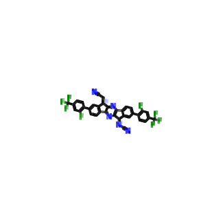 N#C/C=C1\c2cc(-c3ccc(C(F)(F)F)cc3F)ccc2-c2nc3c(nc21)-c1ccc(-c2ccc(C(F)(F)F)cc2F)cc1/C3=N\C#N